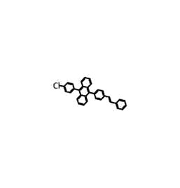 Clc1ccc(-c2c3ccccc3c(-c3ccc(/C=C/c4ccccc4)cc3)c3ccccc23)cc1